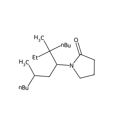 CCCCC(C)CC(N1CCCC1=O)C(C)(CC)CCCC